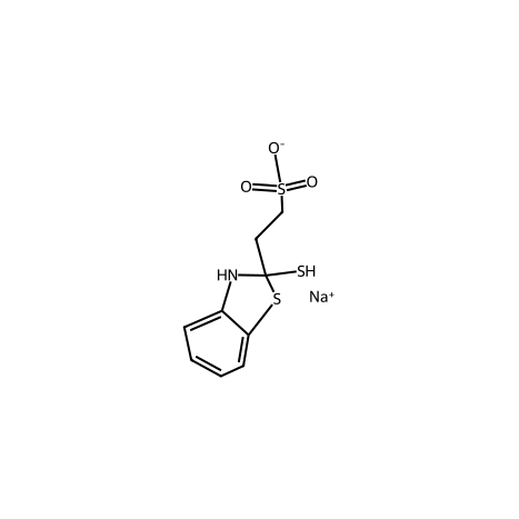 O=S(=O)([O-])CCC1(S)Nc2ccccc2S1.[Na+]